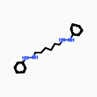 c1ccc(NNCCCCCCNNc2ccccc2)cc1